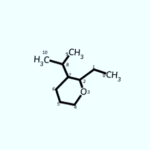 CCC1OCCCC1C(C)C